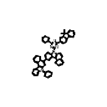 CC1(C)c2ccccc2-c2ccc(-c3nc(-c4ccccc4)nc(-n4c5ccc(-c6cc7c(c8ccccc68)c6ccccc6n7-c6ccccc6)cc5c5c6ccccc6ccc54)n3)cc21